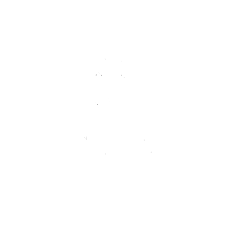 Cc1nc(Cc2cccc(C(F)(F)F)c2)sc1NC(=O)c1nccn1C